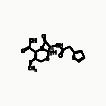 CSC1=C(C(=O)O)N2C(=O)[C@@H](NC(=O)Cc3cccs3)[C@@H]2SC1